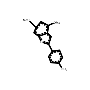 COc1cc(OC)c2cc(-c3ccc([N+](=O)[O-])cc3)oc2c1